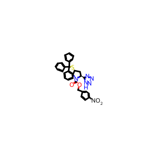 O=C(OCc1ccc([N+](=O)[O-])cc1)N1C[C@@H](SC(c2ccccc2)(c2ccccc2)c2ccccc2)C[C@H]1c1nnn[nH]1